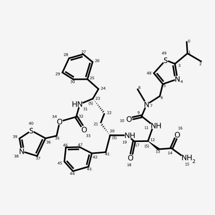 CC(C)c1nc(CN(C)C(=O)N[C@@H](CC(N)=O)C(=O)N[C@@H](CC[C@@H](Cc2ccccc2)NC(=O)OCc2cncs2)Cc2ccccc2)cs1